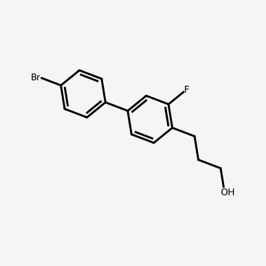 OCCCc1ccc(-c2ccc(Br)cc2)cc1F